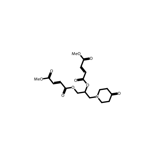 COC(=O)/C=C/C(=O)OCC(CN1CCC(=O)CC1)OC(=O)/C=C/C(=O)OC